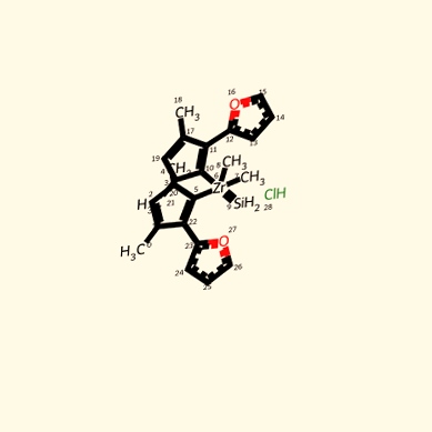 CC1=CC(C)[C]([Zr]([CH3])([CH3])(=[SiH2])[C]2=C(c3ccco3)C(C)=CC2C)=C1c1ccco1.Cl